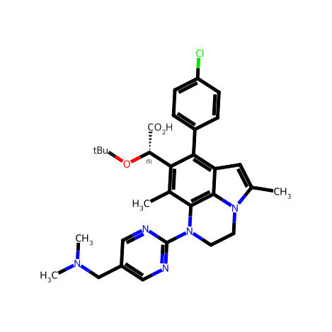 Cc1c([C@H](OC(C)(C)C)C(=O)O)c(-c2ccc(Cl)cc2)c2cc(C)n3c2c1N(c1ncc(CN(C)C)cn1)CC3